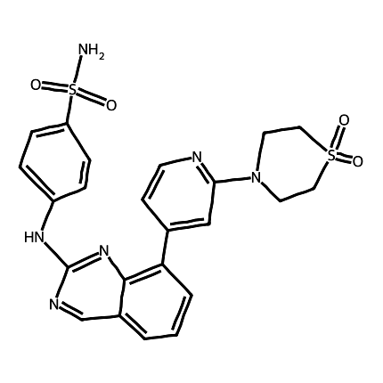 NS(=O)(=O)c1ccc(Nc2ncc3cccc(-c4ccnc(N5CCS(=O)(=O)CC5)c4)c3n2)cc1